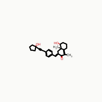 CC1=C2CCC[C@H](O)[C@@]2(C)C/C(=C\c2ccc(C#CC3(O)CCCC3)cc2)C1=O